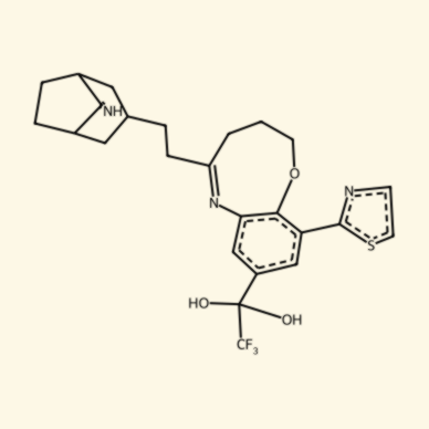 N=C1C2CCC1CC(CC/C1=N/c3cc(C(O)(O)C(F)(F)F)cc(-c4nccs4)c3OCCC1)C2